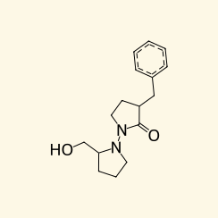 O=C1C(Cc2ccccc2)CCN1N1CCCC1CO